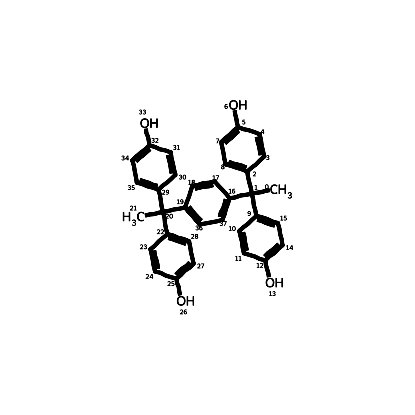 CC(c1ccc(O)cc1)(c1ccc(O)cc1)c1ccc(C(C)(c2ccc(O)cc2)c2ccc(O)cc2)cc1